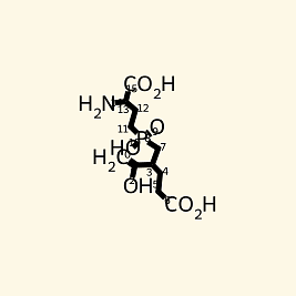 C=C(O)C(CCC(=O)O)CP(=O)(O)CCC(N)C(=O)O